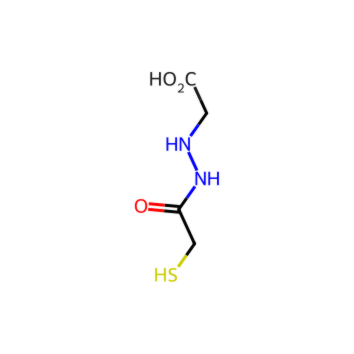 O=C(O)CNNC(=O)CS